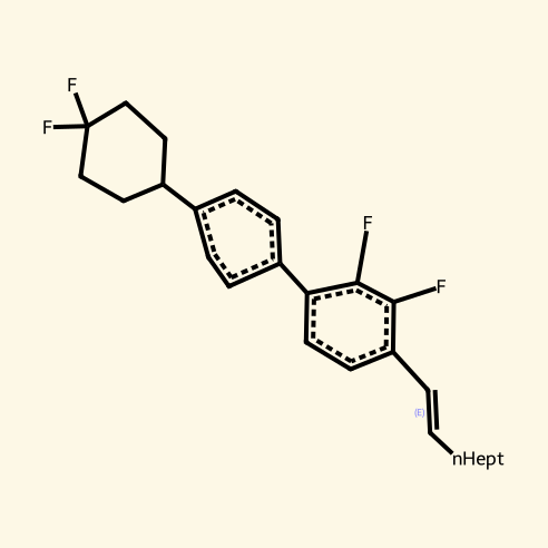 CCCCCCC/C=C/c1ccc(-c2ccc(C3CCC(F)(F)CC3)cc2)c(F)c1F